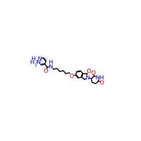 N/C=C\C(=C/N)C(=O)NCCCCCCOc1ccc2c(c1)CN(C1CCC(=O)NC1=O)C2=O